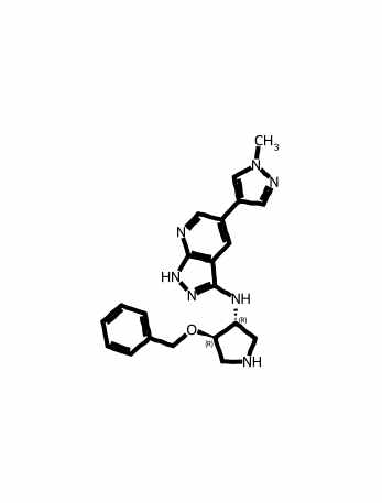 Cn1cc(-c2cnc3[nH]nc(N[C@@H]4CNC[C@H]4OCc4ccccc4)c3c2)cn1